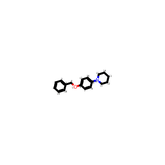 c1ccc(COc2ccc(N3CCCCC3)cc2)cc1